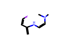 C=C(/C=C\I)N/C=C\N(C)C